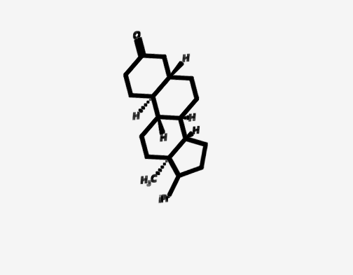 CC(C)C1CC[C@H]2[C@@H]3CC[C@H]4CC(=O)CC[C@@H]4[C@H]3CC[C@]12C